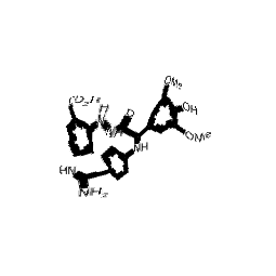 COc1cc(C(Nc2ccc(C(=N)N)cc2)C(=O)NNc2ccccc2C(=O)O)cc(OC)c1O